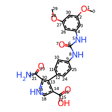 COc1cc(NC(=O)Nc2ccc(-c3c(C(=O)O)c[nH]c3C(N)=O)cc2)cc(OC)c1